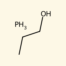 CCCO.P